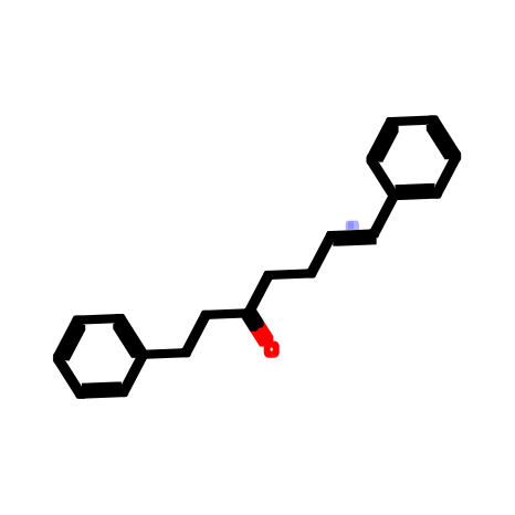 O=C(CC/C=C/c1ccccc1)CCc1ccccc1